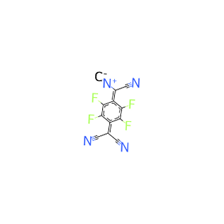 [C-]#[N+]C(C#N)=c1c(F)c(F)c(=C(C#N)C#N)c(F)c1F